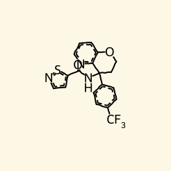 O=C(NC1(c2ccc(C(F)(F)F)cc2)CCOc2cccnc21)c1ccns1